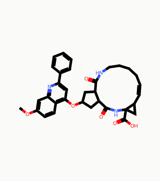 COc1ccc2c(OC3CC4C(=O)NCCCCC=CC5CC5(C(=O)O)NC(=O)C4C3)cc(-c3ccccc3)nc2c1